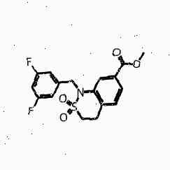 COC(=O)c1ccc2c(c1)N(Cc1cc(F)cc(F)c1)S(=O)(=O)CC2